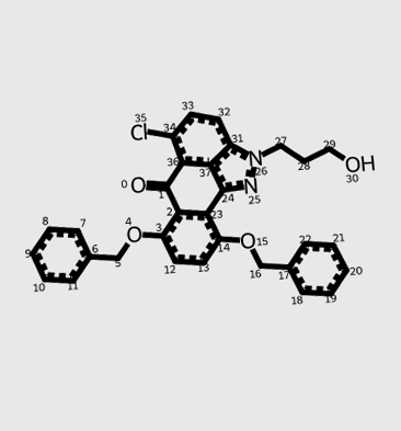 O=C1c2c(OCc3ccccc3)ccc(OCc3ccccc3)c2-c2nn(CCCO)c3ccc(Cl)c1c23